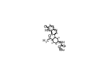 CC(Oc1ccnc2ncc(=O)[nH]c12)C1CCC(NC(=O)OC(C)(C)C)CC1